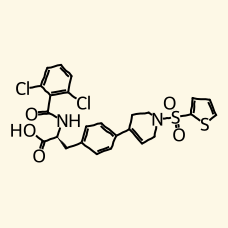 O=C(N[C@@H](Cc1ccc(C2=CCN(S(=O)(=O)c3cccs3)CC2)cc1)C(=O)O)c1c(Cl)cccc1Cl